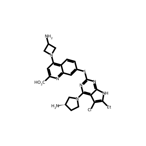 CCc1[nH]c2nc(Sc3ccc4c(N5CC(N)C5)cc(C(=O)O)nc4c3)nc(N3CC[C@H](N)C3)c2c1Cl